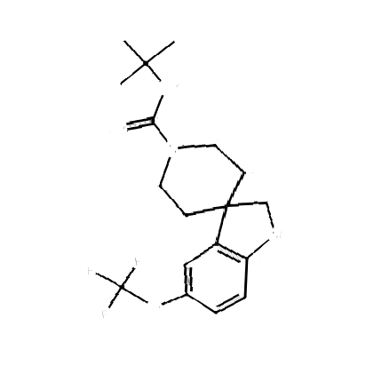 CC(C)(C)OC(=O)N1CCC2(CC1)CNc1ccc(OC(F)(F)F)cc12